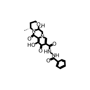 C[C@@H]1CCO[C@H]2Cn3cc(C(=O)NNC(=O)c4ccccc4)c(=O)c(O)c3C(=O)N12